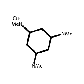 CNC1CC(NC)CC(NC)C1.[Cu]